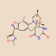 Cc1nc(-c2noc3c(F)c4c(cc23)CC2(C(=O)NC(=O)NC2=O)[C@H]2[C@H](C)O[C@H](C)CN42)co1